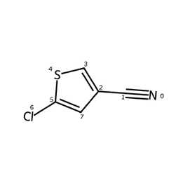 N#Cc1csc(Cl)c1